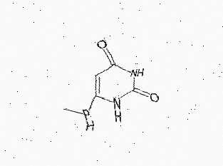 CPc1cc(=O)[nH]c(=O)[nH]1